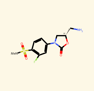 CNS(=O)(=O)c1ccc(N2C[C@H](CN)OC2=O)cc1F